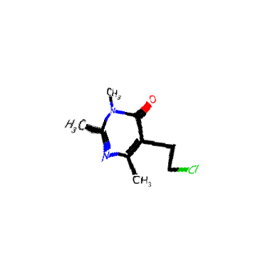 Cc1nc(C)n(C)c(=O)c1CCCl